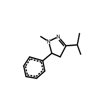 CC(C)C1=NN(C)C(c2ccccc2)C1